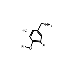 CC(C)Oc1ccc(CN)cc1Br.Cl